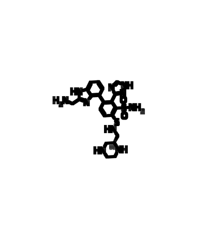 NCc1nc2c(-c3ccc(SNC[C@@H]4CNCCN4)c(S(N)(=O)=O)c3-c3nc[nH]n3)cccc2[nH]1